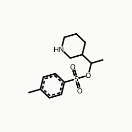 Cc1ccc(S(=O)(=O)OC(C)C2CCCNC2)cc1